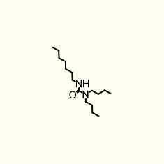 CCCCCCCNC(=O)N(CCCC)CCCC